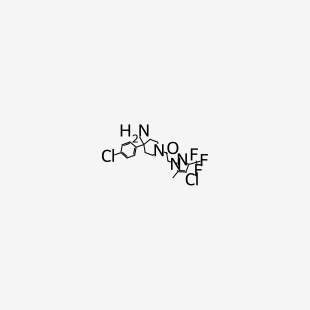 Cc1c(Cl)c(C(F)(F)F)nn1CC(=O)N1CCC(CN)(c2ccc(Cl)cc2)CC1